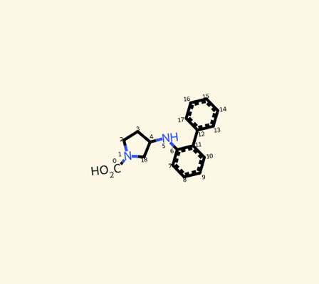 O=C(O)N1CCC(Nc2ccccc2-c2ccccc2)C1